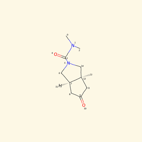 CN(C)C(=O)N1C[C@@H]2CC(=O)C[C@]2(C)C1